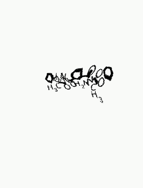 CC(Oc1ccccc1)C(=O)N(N)C(=O)c1cccc(C(=O)N(N)C(=O)C(C)Oc2ccccc2)c1